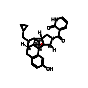 O=C(c1ccc[nH]c1=O)N1C[C@H]2C[C@@]34CC[C@@H]1C2[C@@]31CCN(CC2CC2)[C@@H]4Cc2ccc(O)cc21